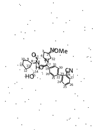 CON=C1C[C@@H](C(=O)N[C@@H]2CCCC[C@H]2CO)N(C(=O)c2ccc(-c3ccccc3C#N)cc2)C1